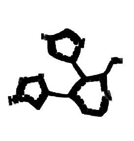 CCC(C)c1nccc(-c2c[nH]nn2)c1-c1c[nH]cn1